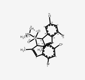 CC1=Cc2c(Br)cc(Cl)cc2[CH]1[Zr]([Cl])([Cl])([CH]1C(C)=Cc2c(Br)cc(Cl)cc21)[SiH](C)C